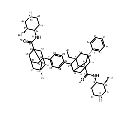 CC[C@]12CC3(C(=O)N[C@@H]4CCNC[C@@H]4F)CC(C[C@](c4ccccc4)(C3)C1)C2c1ccc([C@]23CC4CC(C(=O)N[C@@H]5CCNC[C@@H]5F)(C[C@](C)(C4)C2)C3)cc1